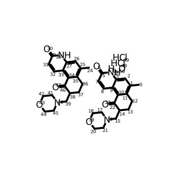 Cc1cc2[nH]c(=O)ccc2c2c1CCC(CN1CCOCC1)C2=O.Cc1cc2[nH]c(=O)ccc2c2c1CCC(CN1CCOCC1)C2=O.Cl.Cl.O